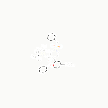 [2H]C([2H])([2H])N(C[C@@H]1CN(S(=O)(=O)Cc2ccccc2)CC[C@@]1(OC(=O)c1ccccc1)c1cccc(OC)c1)C([2H])([2H])[2H]